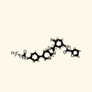 COC(=O)Nc1ccc(-c2cnc3nc(-c4cc(NC(=O)c5ccco5)ccc4F)oc3c2)cc1